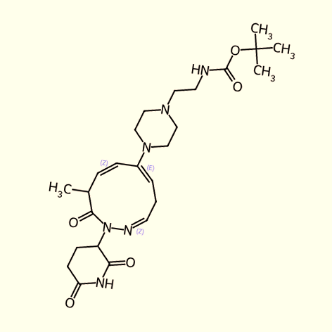 CC1/C=C\C(N2CCN(CCNC(=O)OC(C)(C)C)CC2)=C/C/C=N\N(C2CCC(=O)NC2=O)C1=O